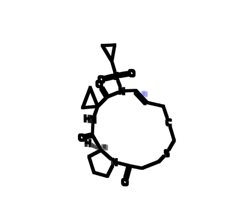 O=C1NC2(CC2)C(=O)N(S(=O)(=O)C2CC2)/C=C/CCCSCCC(=O)N2CCC[C@@H]12